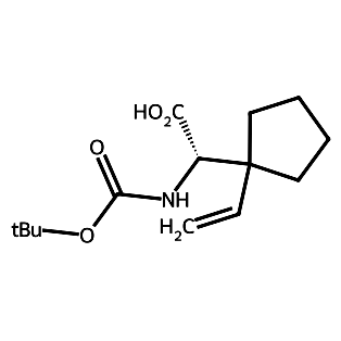 C=CC1([C@H](NC(=O)OC(C)(C)C)C(=O)O)CCCC1